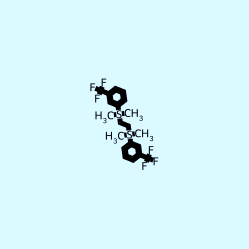 CS(C)(CCS(C)(C)c1cccc(C(F)(F)F)c1)c1cccc(C(F)(F)F)c1